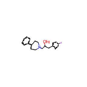 OC(Cc1ccc(I)cc1)CN1CCC(c2ccccc2)CC1